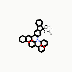 CC1(C)c2ccccc2-c2cc(-c3ccc4c(c3)CCCC4)c(N(c3ccccc3)c3ccccc3-c3ccccc3)cc21